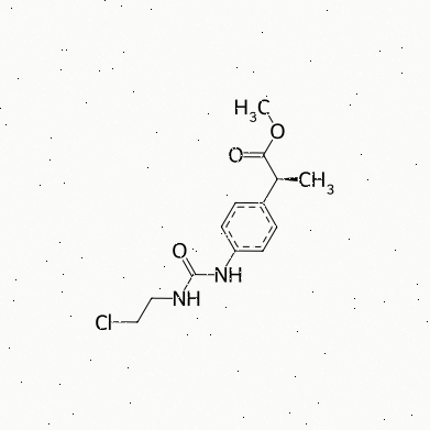 COC(=O)[C@@H](C)c1ccc(NC(=O)NCCCl)cc1